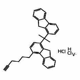 C#CCCCCc1ccc(C(C)(C)c2cccc3c2Cc2ccccc2-3)c2c1-c1ccccc1C2.Cl.Cl.[V]